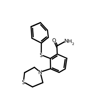 NC(=O)c1cccc(N2CCSCC2)c1Sc1ccccc1